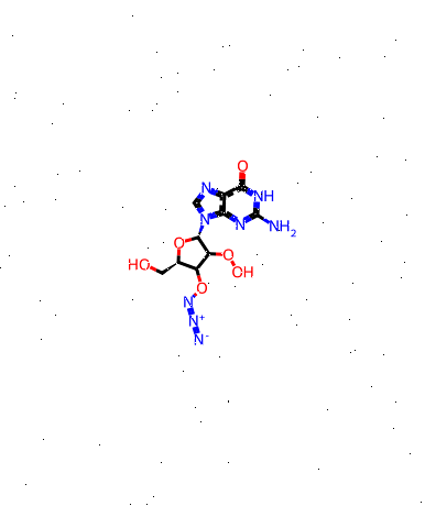 [N-]=[N+]=NOC1C(OO)[C@H](n2cnc3c(=O)[nH]c(N)nc32)O[C@@H]1CO